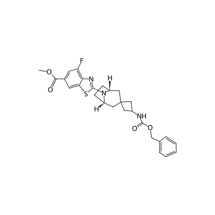 COC(=O)c1cc(F)c2nc(N3[C@@H]4CC[C@H]3CC3(CC(NC(=O)OCc5ccccc5)C3)C4)sc2c1